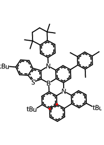 Cc1cc(C)c(-c2cc3c4c(c2)N(c2ccc5c(c2)C(C)(C)CCC5(C)C)c2c(sc5cc(C(C)(C)C)ccc25)B4c2cc(C(C)(C)C)ccc2N3c2ccc(C(C)(C)C)cc2-c2ccccc2)c(C)c1